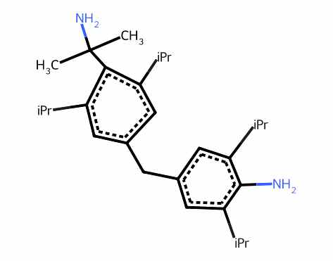 CC(C)c1cc(Cc2cc(C(C)C)c(C(C)(C)N)c(C(C)C)c2)cc(C(C)C)c1N